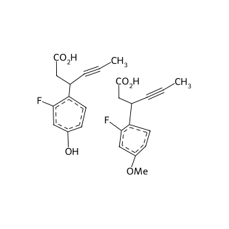 CC#CC(CC(=O)O)c1ccc(O)cc1F.CC#CC(CC(=O)O)c1ccc(OC)cc1F